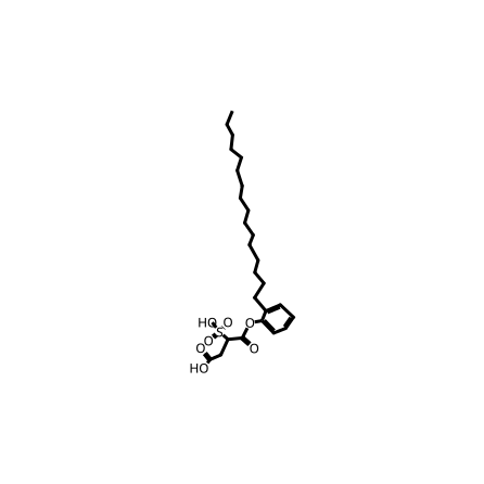 CCCCCCCCCCCCCCCCc1ccccc1OC(=O)C(CC(=O)O)S(=O)(=O)O